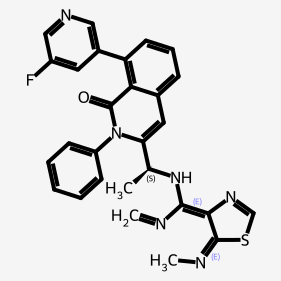 C=N/C(N[C@@H](C)c1cc2cccc(-c3cncc(F)c3)c2c(=O)n1-c1ccccc1)=C1/N=CS/C1=N/C